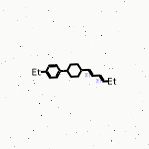 CC/C=C/C=C/C1CCC(c2ccc(CC)cc2)CC1